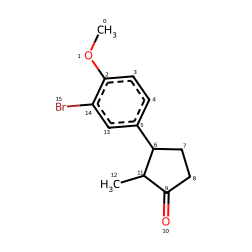 COc1ccc(C2CCC(=O)C2C)cc1Br